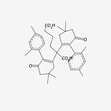 Cc1ccc(C2=C(C(CCCC(=O)O)(C(=O)O)C3=C(c4ccc(C)cc4C)C(=O)CC(C)(C)C3)CC(C)(C)CC2=O)c(C)c1